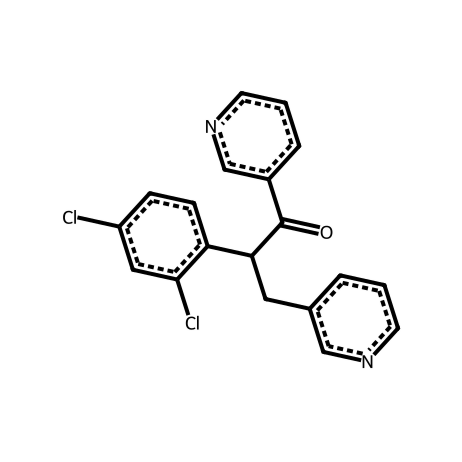 O=C(c1cccnc1)C(Cc1cccnc1)c1ccc(Cl)cc1Cl